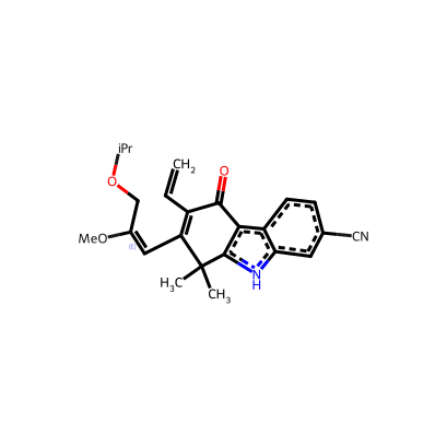 C=CC1=C(/C=C(\COC(C)C)OC)C(C)(C)c2[nH]c3cc(C#N)ccc3c2C1=O